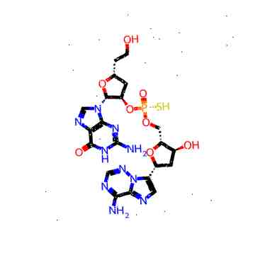 Nc1nc2c(ncn2[C@@H]2O[C@H](CCO)C[C@H]2O[P@](=O)(S)OC[C@H]2O[C@@H](c3cnc4c(N)ncnn34)C[C@@H]2O)c(=O)[nH]1